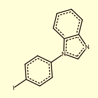 Ic1ccc(-n2cnc3ccccc32)cc1